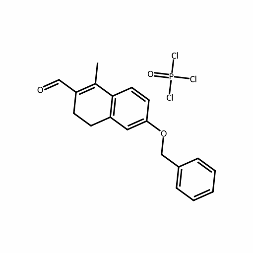 CC1=C(C=O)CCc2cc(OCc3ccccc3)ccc21.O=P(Cl)(Cl)Cl